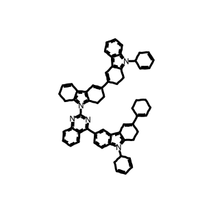 C1=CCC(n2c3c(c4cc(-c5nc(-n6c7c(c8c6CCC(C6=Cc9c(n(C%10C=CC=CC%10)c%10ccccc9%10)CC6)=C8)C=CCC7)nc6ccccc56)ccc42)C=C(C2=CCCCC2)CC3)C=C1